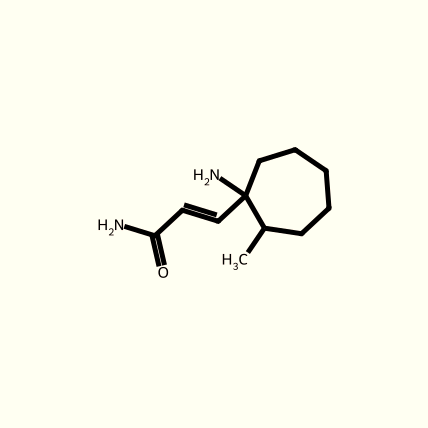 CC1CCCCCC1(N)/C=C/C(N)=O